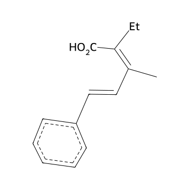 CCC(C(=O)O)=C(C)C=Cc1ccccc1